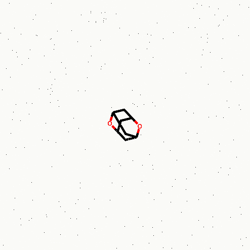 C1C2CC3CC(CC1O3)O2